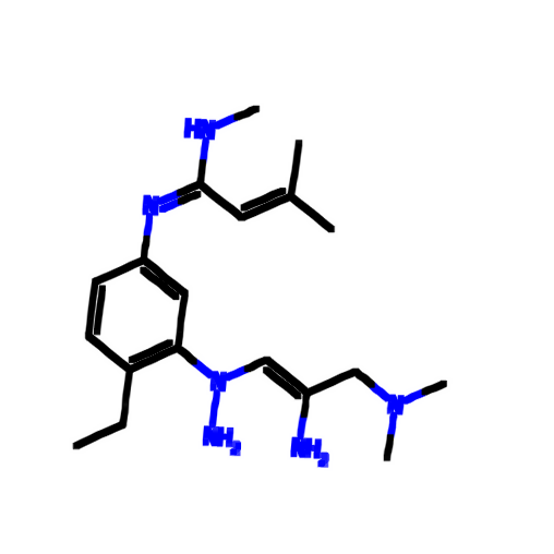 CCc1ccc(/N=C(\C=C(C)C)NC)cc1N(N)/C=C(\N)CN(C)C